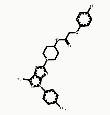 Cc1ccc(-n2nc(C)c3sc(N4CCC(NC(=O)COc5ccc(Cl)cc5)CC4)nc32)cc1